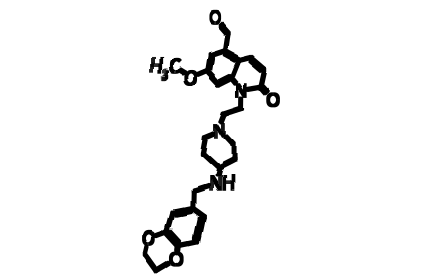 COc1cc(C=O)c2ccc(=O)n(CCN3CCC(NCc4ccc5c(c4)OCCO5)CC3)c2c1